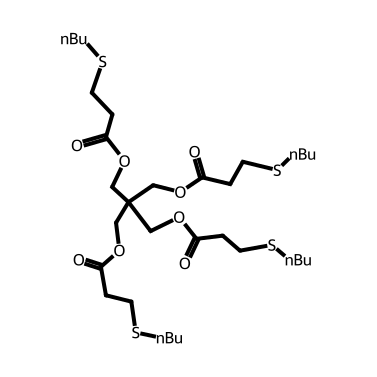 CCCCSCCC(=O)OCC(COC(=O)CCSCCCC)(COC(=O)CCSCCCC)COC(=O)CCSCCCC